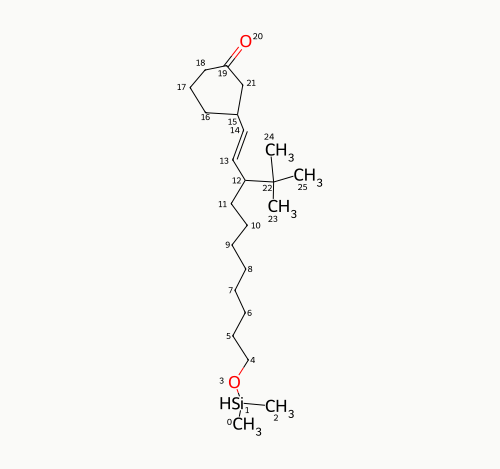 C[SiH](C)OCCCCCCCCC(C=CC1CCCC(=O)C1)C(C)(C)C